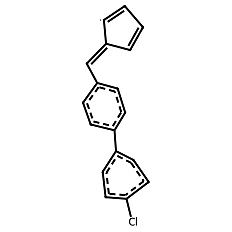 Clc1ccc(-c2ccc(C=C3[C]=CC=C3)cc2)cc1